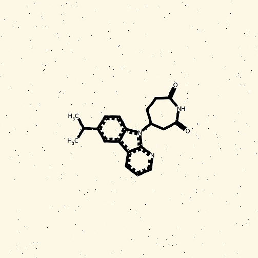 CC(C)c1ccc2c(c1)c1cccnc1n2C1CCC(=O)NC(=O)C1